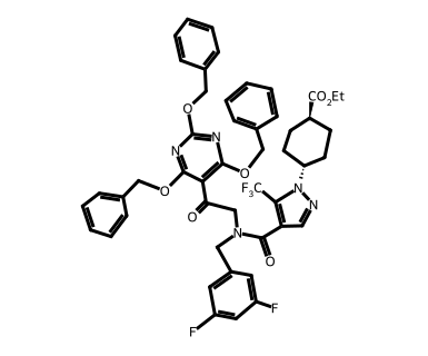 CCOC(=O)[C@H]1CC[C@H](n2ncc(C(=O)N(CC(=O)c3c(OCc4ccccc4)nc(OCc4ccccc4)nc3OCc3ccccc3)Cc3cc(F)cc(F)c3)c2C(F)(F)F)CC1